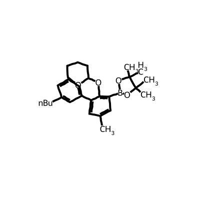 CCCCc1cccc(-c2cc(C)cc(B3OC(C)(C)C(C)(C)O3)c2OC2CCCCO2)c1